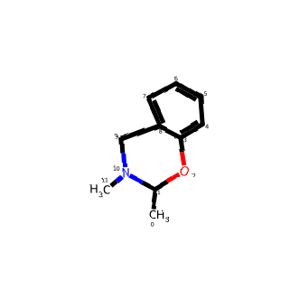 CC1Oc2ccccc2CN1C